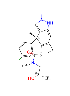 CCCN(C[C@@H](O)C(F)(F)F)C(=O)[C@H]1CCC2=C1[C@](C)(c1ccc(F)cc1)C1=CNNC1=C2